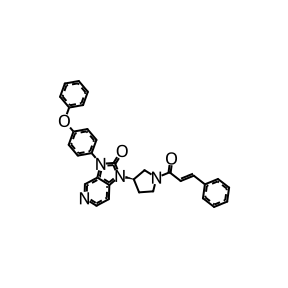 O=C(/C=C/c1ccccc1)N1CC[C@@H](n2c(=O)n(-c3ccc(Oc4ccccc4)cc3)c3cnccc32)C1